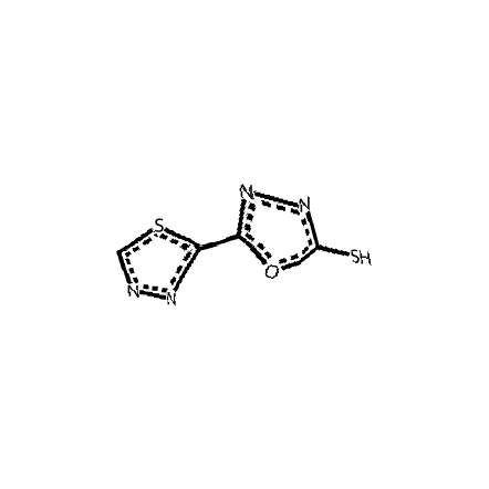 Sc1nnc(-c2nncs2)o1